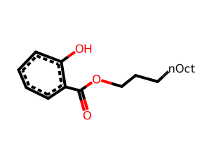 CCCCCCCCCCCOC(=O)c1ccccc1O